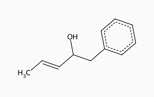 CC=CC(O)Cc1ccccc1